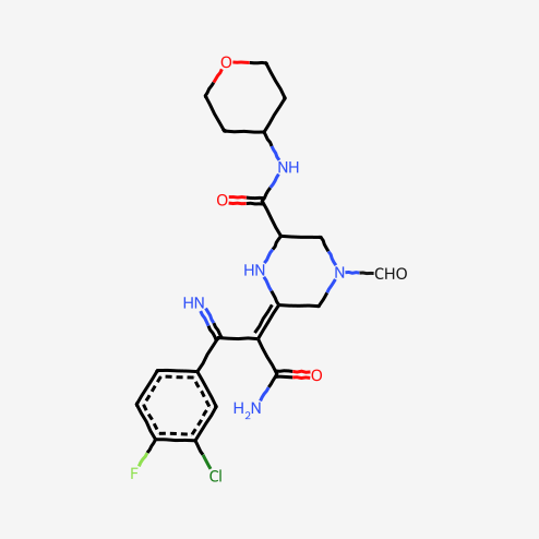 N=C(/C(C(N)=O)=C1/CN(C=O)CC(C(=O)NC2CCOCC2)N1)c1ccc(F)c(Cl)c1